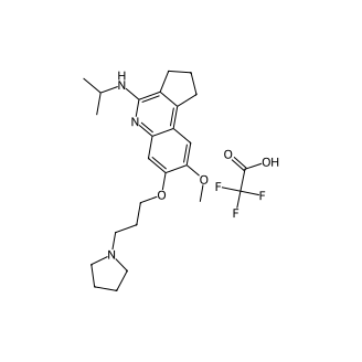 COc1cc2c3c(c(NC(C)C)nc2cc1OCCCN1CCCC1)CCC3.O=C(O)C(F)(F)F